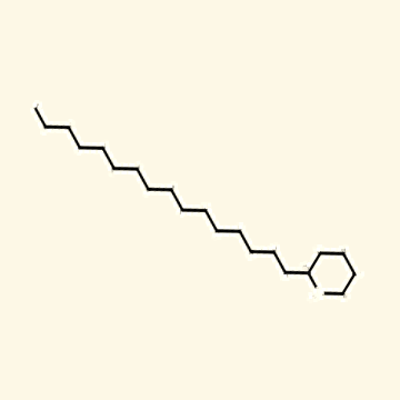 CCCCCCCCCCCCCCCCC1CCCCS1